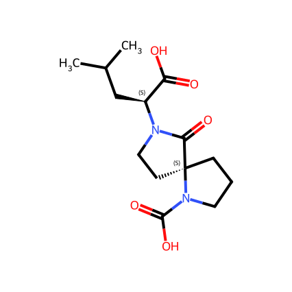 CC(C)C[C@@H](C(=O)O)N1CC[C@@]2(CCCN2C(=O)O)C1=O